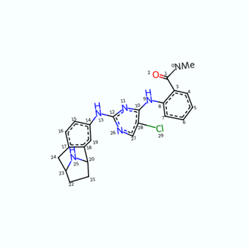 CNC(=O)c1ccccc1Nc1nc(Nc2ccc3c(c2)C2CCC(C3)N2)ncc1Cl